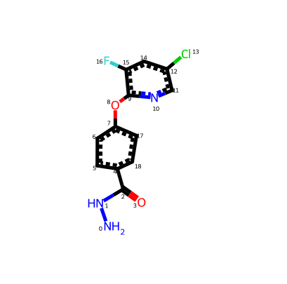 NNC(=O)c1ccc(Oc2ncc(Cl)cc2F)cc1